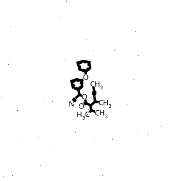 CC#CC(C)C(C(=O)OC(C#N)c1cccc(Oc2ccccc2)c1)C(C)C